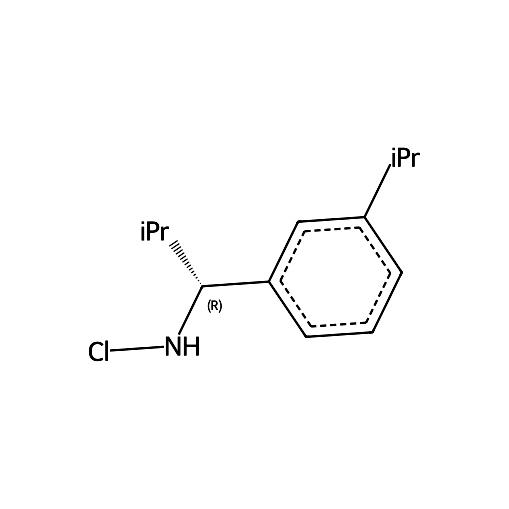 CC(C)c1cccc([C@H](NCl)C(C)C)c1